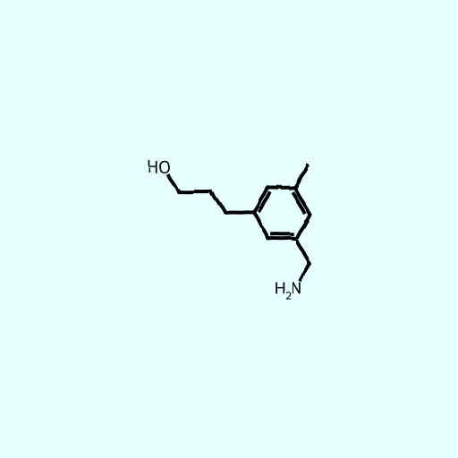 Cc1cc(CN)cc(CCCO)c1